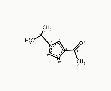 CC(=O)c1cn(C(C)C)cn1